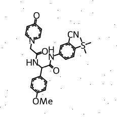 COc1ccc(C(NC(=O)Cn2ccc(=O)cc2)C(=O)Nc2ccc(S(C)(C)C)c(C#N)c2)cc1